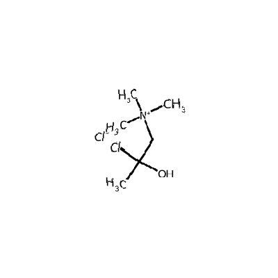 CC(O)(Cl)C[N+](C)(C)C.[Cl-]